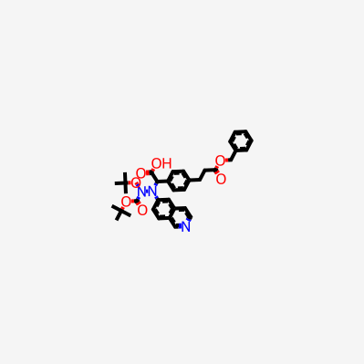 CC(C)(C)OC(=O)N(OC(C)(C)C)N(c1ccc2cnccc2c1)C(C(=O)O)c1ccc(CCC(=O)OCc2ccccc2)cc1